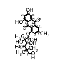 Cc1cc(O[C@H](O)C(C)(O)[C@@H](O)[C@H](O)C(C)(C)CO)c2c(c1)C(=O)c1cc(O)cc(O)c1C2=O